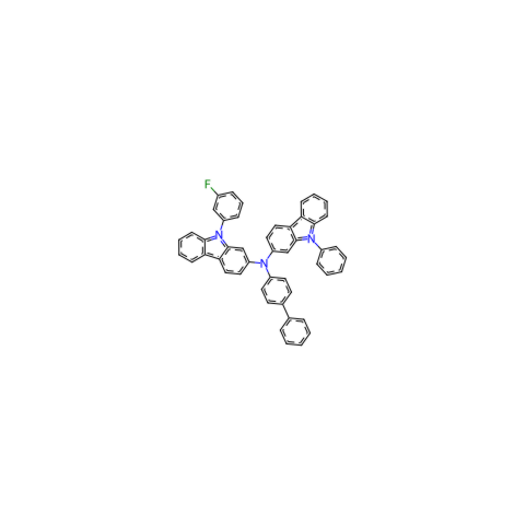 Fc1cccc(-n2c3ccccc3c3ccc(N(c4ccc(-c5ccccc5)cc4)c4ccc5c6ccccc6n(-c6ccccc6)c5c4)cc32)c1